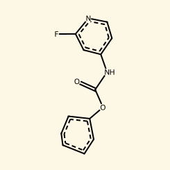 O=C(Nc1ccnc(F)c1)Oc1ccccc1